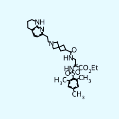 CCOC(=O)[C@H](CNC(=O)C1CC2(C1)CN(CCc1ccc3c(n1)NCCC3)C2)NS(=O)(=O)c1c(C)cc(C)cc1C